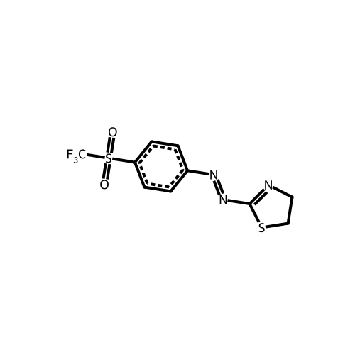 O=S(=O)(c1ccc(/N=N/C2=NCCS2)cc1)C(F)(F)F